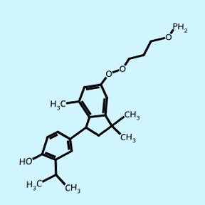 Cc1cc(OOCCCOP)cc2c1C(c1ccc(O)c(C(C)C)c1)CC2(C)C